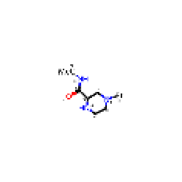 CCN1CCNC(C(=O)NOC)C1